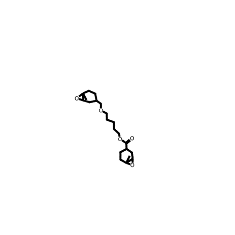 CC12CCC(COCCCCCOC(=O)C3CCC4(C)OC4C3)CC1O2